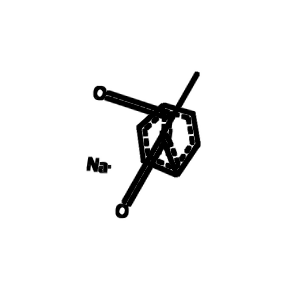 O=c1[nH]c(=O)c2ccc1cc2.[Na]